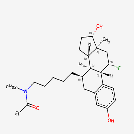 CCCCCCN(CCCCC[C@@H]1Cc2cc(O)ccc2[C@@H]2[C@@H]1[C@@H]1CC[C@H](O)[C@@]1(C)C[C@@H]2F)C(=O)CC